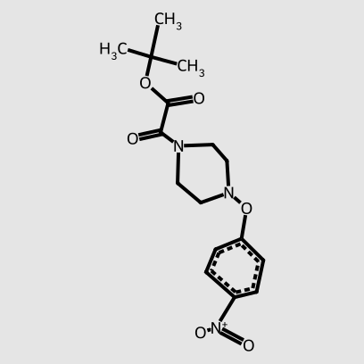 CC(C)(C)OC(=O)C(=O)N1CCN(Oc2ccc([N+](=O)[O-])cc2)CC1